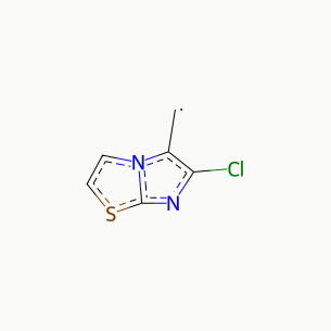 [CH2]c1c(Cl)nc2sccn12